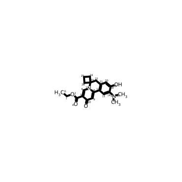 CCOC(=O)c1cn2c(cc1=O)-c1cc(N(C)C)c(O)cc1CC21CCC1